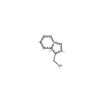 OCc1ncn2ccccc12